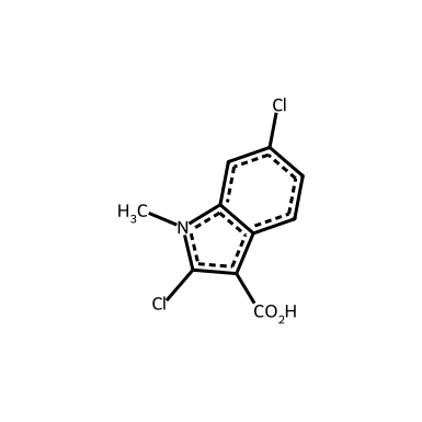 Cn1c(Cl)c(C(=O)O)c2ccc(Cl)cc21